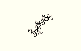 CCOc1cc(-c2ncc(NC(=O)Nc3cccc(C(F)(F)F)c3)c(C)n2)c[nH]c1=O